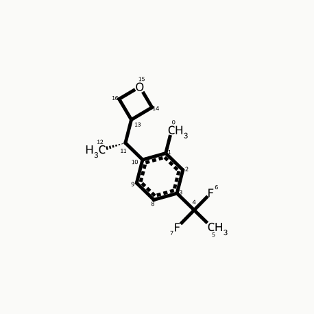 Cc1cc(C(C)(F)F)ccc1[C@H](C)C1COC1